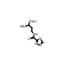 CCCCCCC(CCCC)CCNC(=O)c1nnco1